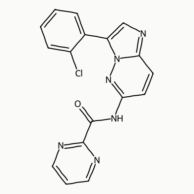 O=C(Nc1ccc2ncc(-c3ccccc3Cl)n2n1)c1ncccn1